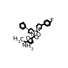 CC(N)c1ccc(C(=O)N2C[C@@H](c3ccccc3)C[C@H]2C(=O)N2CCC(c3ccc(F)cc3)C2)o1